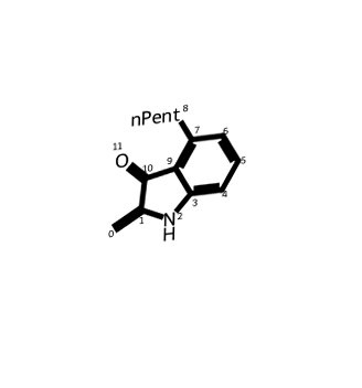 C=C1Nc2cccc(CCCCC)c2C1=O